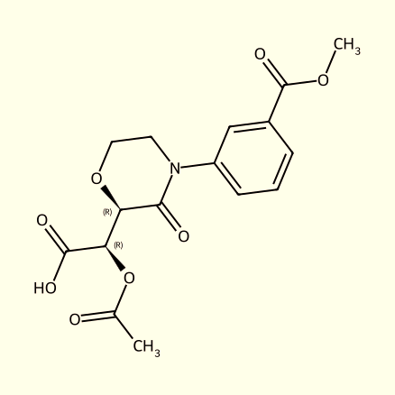 COC(=O)c1cccc(N2CCO[C@H]([C@@H](OC(C)=O)C(=O)O)C2=O)c1